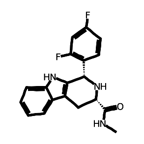 CNC(=O)[C@@H]1Cc2c([nH]c3ccccc23)[C@H](c2ccc(F)cc2F)N1